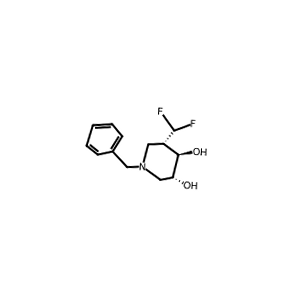 O[C@H]1[C@H](O)CN(Cc2ccccc2)C[C@@H]1C(F)F